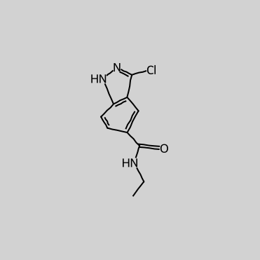 CCNC(=O)c1ccc2[nH]nc(Cl)c2c1